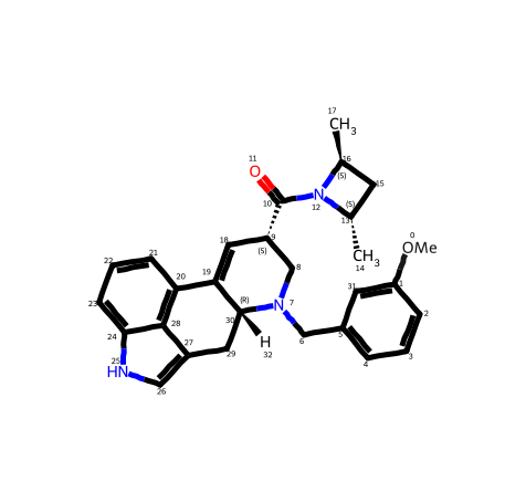 COc1cccc(CN2C[C@@H](C(=O)N3[C@@H](C)C[C@@H]3C)C=C3c4cccc5[nH]cc(c45)C[C@H]32)c1